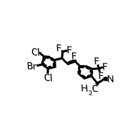 C=C(C#N)c1ccc(/C(F)=C/C(c2cc(Cl)c(Br)c(Cl)c2)C(F)F)cc1C(F)(F)F